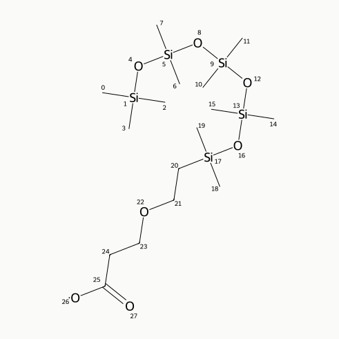 C[Si](C)(C)O[Si](C)(C)O[Si](C)(C)O[Si](C)(C)O[Si](C)(C)CCOCCC([O])=O